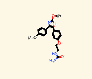 COc1ccc(-c2nc(OC(C)C)oc2-c2ccc(OCCNC(N)=O)cc2)cc1